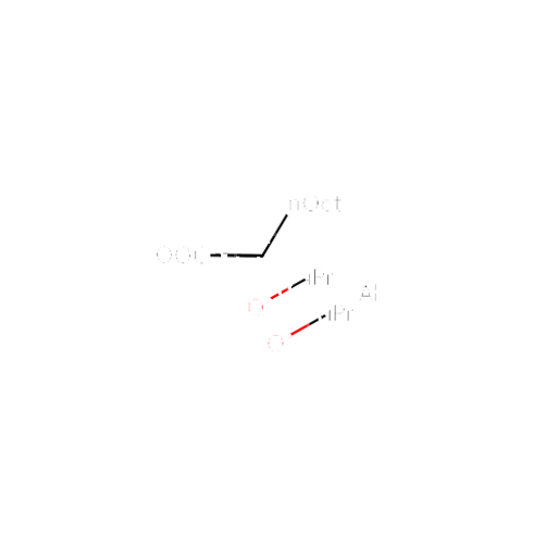 CC(C)[O-].CC(C)[O-].CCCCCCCCCC(=O)[O-].[Al+3]